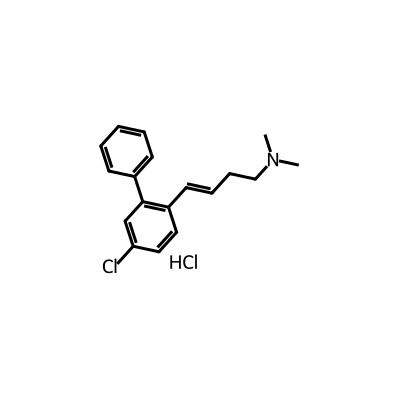 CN(C)CCC=Cc1ccc(Cl)cc1-c1ccccc1.Cl